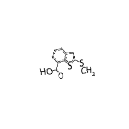 CSc1cc2cccc(C(=O)O)c2s1